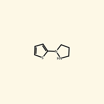 c1csc(N2CCCN2)c1